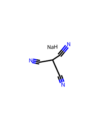 N#CC(C#N)C#N.[NaH]